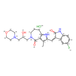 Cc1c(C=C2C(=O)Nc3ccc(F)cc32)[nH]c2c1C(=O)N(CC(O)CN1CCOCC1)CCC2.Cl